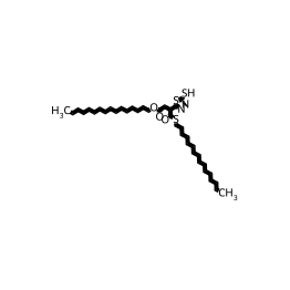 CCCCCCCCCCCCCCCCOC(=O)CC(C(=O)SCCCCCCCCCCCCCCCC)c1nnc(S)s1